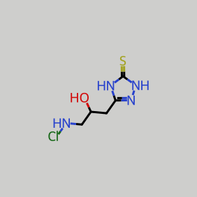 OC(CNCl)Cc1n[nH]c(=S)[nH]1